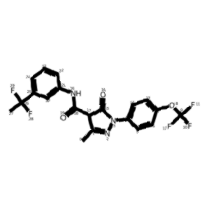 CC1=NN(c2ccc(OC(F)(F)F)cc2)C(=O)C1C(=O)Nc1cccc(C(C)(F)F)c1